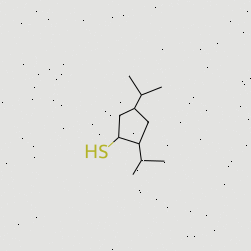 CC(C)C1CC(S)C(C(C)C)C1